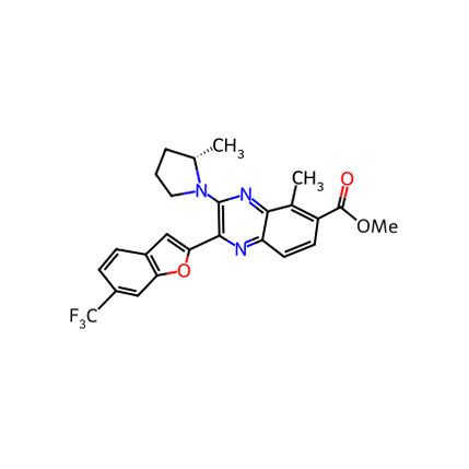 COC(=O)c1ccc2nc(-c3cc4ccc(C(F)(F)F)cc4o3)c(N3CCC[C@@H]3C)nc2c1C